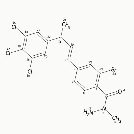 CN(N)C(=O)c1ccc(/C=C/C(c2cc(Cl)c(Cl)c(Cl)c2)C(F)(F)F)cc1Br